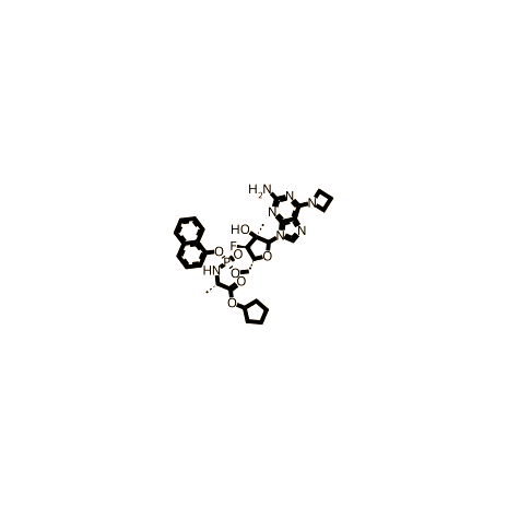 C[C@H](NP(=O)(OC[C@H]1OC(n2cnc3c(N4CCC4)nc(N)nc32)[C@](C)(O)[C@@H]1F)Oc1cccc2ccccc12)C(=O)OC1CCCC1